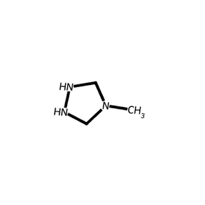 CN1CNNC1